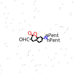 CCCCCN(CCCCC)c1ccc2cc(C=O)c(=O)oc2c1